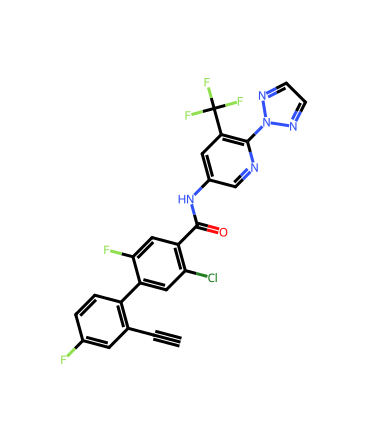 C#Cc1cc(F)ccc1-c1cc(Cl)c(C(=O)Nc2cnc(-n3nccn3)c(C(F)(F)F)c2)cc1F